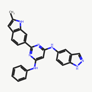 Cc1cc2ccc(-c3nc(Nc4ccccc4)cc(Nc4ccc5[nH]ncc5c4)n3)cc2[nH]1